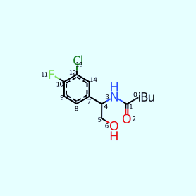 CCC(C)C(=O)NC(CO)c1ccc(F)c(Cl)c1